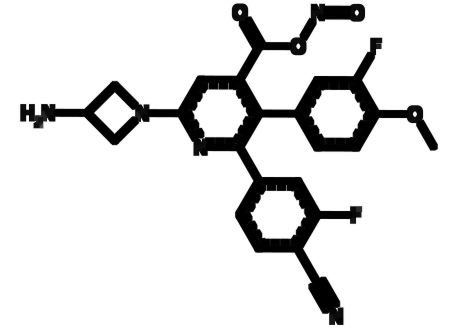 COc1ccc(-c2c(C(=O)ON=O)cc(N3CC(N)C3)nc2-c2ccc(C#N)c(F)c2)cc1F